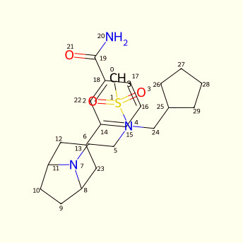 CS(=O)(=O)N(CCN1C2CCC1CC(c1cccc(C(N)=O)c1)C2)CC1CCCC1